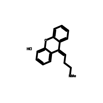 CNCCC=C1c2ccccc2Oc2ccccc21.Cl